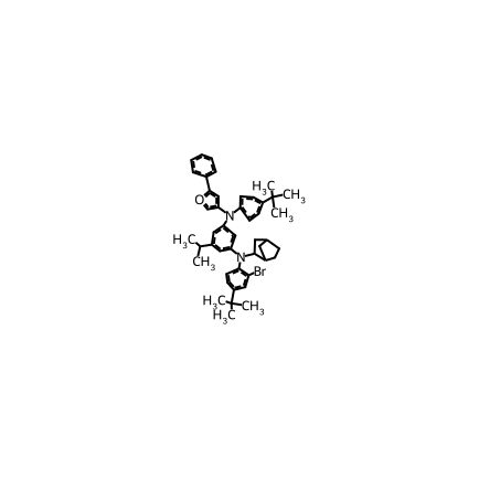 CC(C)c1cc(N(c2ccc(C(C)(C)C)cc2)c2coc(-c3ccccc3)c2)cc(N(c2ccc(C(C)(C)C)cc2Br)C2CC3CCC2C3)c1